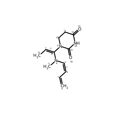 C=C/C=C\N(C)/C(=C\C)N1CCC(=O)NC1=O